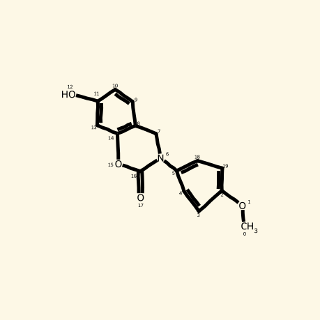 COc1ccc(N2Cc3ccc(O)cc3OC2=O)cc1